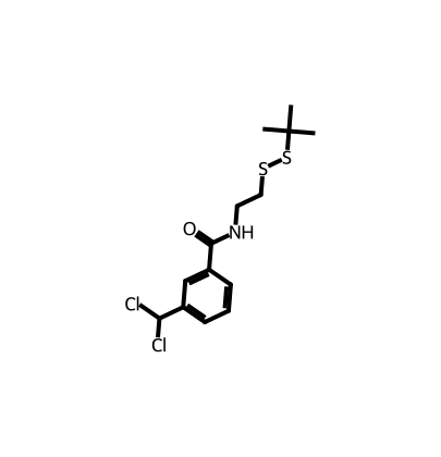 CC(C)(C)SSCCNC(=O)c1cccc(C(Cl)Cl)c1